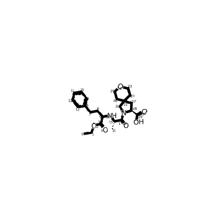 CCOC(=O)C(CCc1ccccc1)N[C@@H](C)C(=O)N1CC2(CCOCC2)C[C@H]1C(=O)O